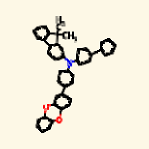 CC1(C)c2ccccc2-c2ccc(N(c3ccc(-c4ccccc4)cc3)c3ccc(-c4ccc5c(c4)Oc4ccccc4O5)cc3)cc21